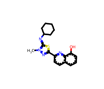 Cn1nc(-c2ccc3cccc(O)c3n2)sc1=NC1CCCCC1